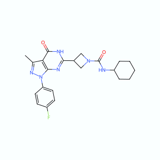 Cc1nn(-c2ccc(F)cc2)c2nc(C3CN(C(=O)NC4CCCCC4)C3)[nH]c(=O)c12